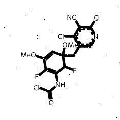 COC1=CC(Cc2cnc(Cl)c(C#N)c2Cl)(OC)C(F)C(NC(=O)Cl)=C1F